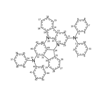 c1ccc(N(c2ccccc2)c2cc3c4ccccc4n4c3[n+](c2)C2c3ccccc3-c3c(N(c5ccccc5)c5ccccc5)ccc-4c32)cc1